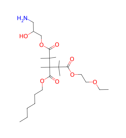 CCCCCCOC(=O)C(C)(C(C)(C)C(=O)OCCOCC)C(C)(C)C(=O)OCC(O)CN